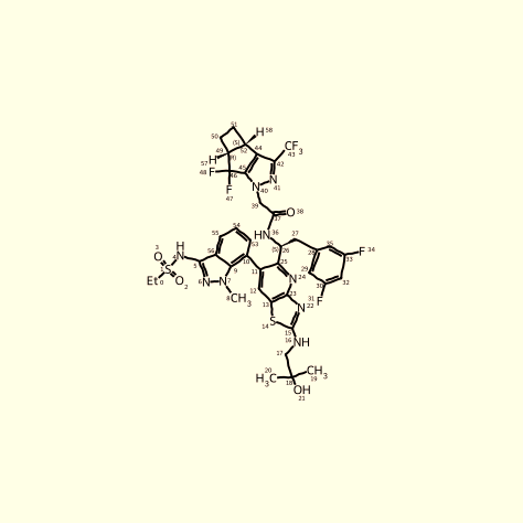 CCS(=O)(=O)Nc1nn(C)c2c(-c3cc4sc(NCC(C)(C)O)nc4nc3[C@H](Cc3cc(F)cc(F)c3)NC(=O)Cn3nc(C(F)(F)F)c4c3C(F)(F)[C@@H]3CC[C@H]43)cccc12